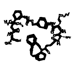 CC(C)[C@H](NC(=O)CCC(=O)N1Cc2ccccc2/C=C\c2ccccc21)C(=O)N[C@@H](CCC(=O)O)C(=O)Nc1ccc(COC(=O)Nc2cccc(C(C)(C)CC(=O)N[C@H](C=O)C(C)(C)C)c2)cc1